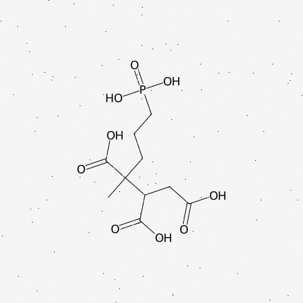 CC(CCCP(=O)(O)O)(C(=O)O)C(CC(=O)O)C(=O)O